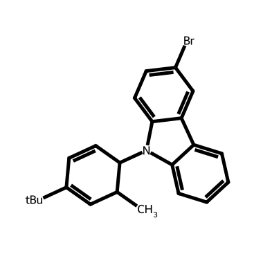 CC1C=C(C(C)(C)C)C=CC1n1c2ccccc2c2cc(Br)ccc21